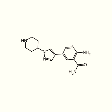 NC(=O)c1cc(-c2cnn(C3CCNCC3)c2)cnc1N